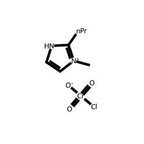 CCCc1[nH]cc[n+]1C.[O]=[Cr](=[O])([O-])[Cl]